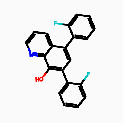 Oc1c(-c2ccccc2F)cc(-c2ccccc2F)c2cccnc12